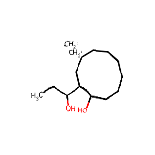 CCC(O)C1CCCCCCCC[C]1O.[CH2].[CH2]